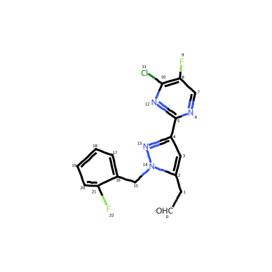 O=[C]Cc1cc(-c2ncc(F)c(Cl)n2)nn1Cc1ccccc1F